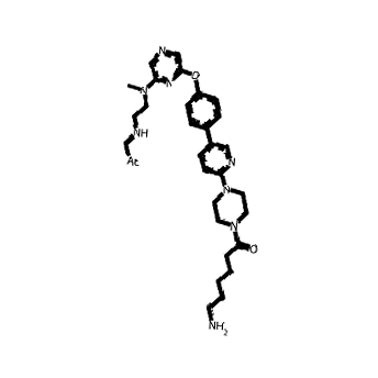 CC(=O)CNCCN(C)c1cncc(Oc2ccc(-c3ccc(N4CCN(C(=O)CCCCCN)CC4)nc3)cc2)n1